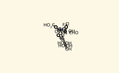 O=C(O)c1ccc(NC(=O)C2c3cccc(N4CCN(C[C@H](O)[C@@H](O)[C@H](O)[C@H](O)CO)CC4=O)c3CCN2C(=O)/C=C/c2c(-n3cnnn3)ccc(Cl)c2F)cc1.O=CO